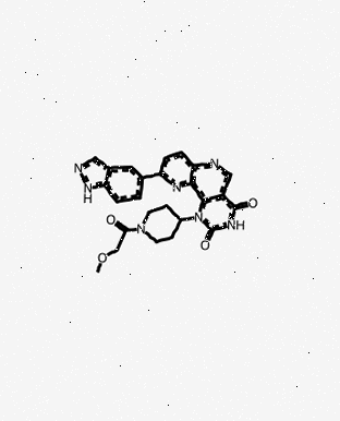 COCC(=O)N1CCC(n2c(=O)[nH]c(=O)c3cnc4ccc(-c5ccc6[nH]ncc6c5)nc4c32)CC1